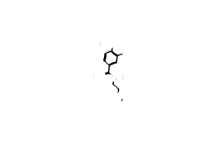 C=C(NCCOC)c1ccc(C)c(F)c1